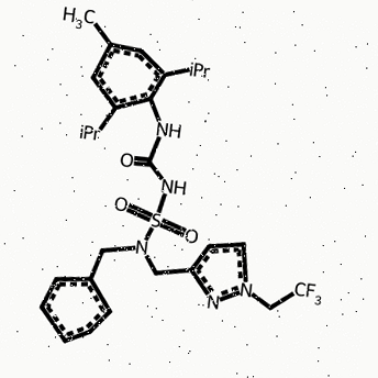 Cc1cc(C(C)C)c(NC(=O)NS(=O)(=O)N(Cc2ccccc2)Cc2ccn(CC(F)(F)F)n2)c(C(C)C)c1